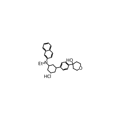 CCN(c1ccc2ccccc2c1)C1CCCC(c2ccc(C3(O)CCOCC3)cc2)C1.Cl